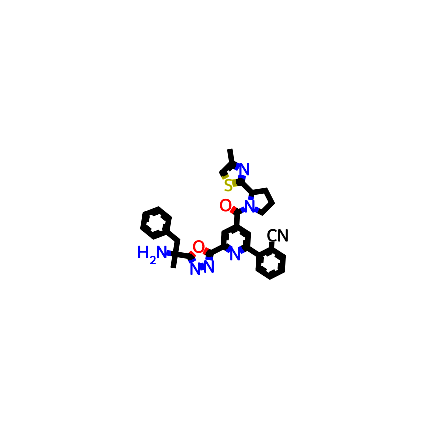 Cc1csc(C2CCCN2C(=O)c2cc(-c3nnc(C(C)(N)Cc4ccccc4)o3)nc(-c3ccccc3C#N)c2)n1